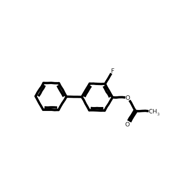 CC(=O)Oc1ccc(-c2ccccc2)cc1F